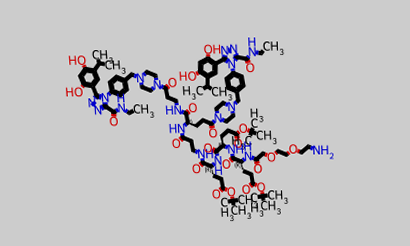 CCNC(=O)c1nnc(-c2cc(C(C)C)c(O)cc2O)n1-c1ccc(CN2CCN(C(=O)CCNC(=O)[C@@H](CCC(=O)N3CCN(Cc4ccc(-n5c(C(=O)NCC)nnc5-c5cc(C(C)C)c(O)cc5O)cc4)CC3)NC(=O)CCNC(=O)[C@@H](CCC(=O)OC(C)(C)C)NC(=O)[C@@H](CCC(=O)OC(C)(C)C)NC(=O)[C@@H](CCC(=O)OC(C)(C)C)NC(=O)COCCOCCN)CC2)cc1